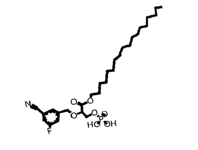 CCCCCCCCCCCCCCCCCCOC(=O)C(COP(=O)(O)O)OCc1cc(F)cc(C#N)c1